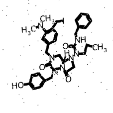 CCCN(C(=O)NCc1ccccc1)N1CC(=O)N2[C@@H](Cc3ccc(O)cc3)C(=O)N(Cc3ccc(CI)c(N(C)C)c3)C[C@@H]21